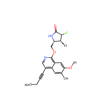 CC[C@@H]1[C@H](F)C(=O)N[C@@H]1COc1ncc(C#CCOC)c2cc(C#N)c(OC(C)C)cc12